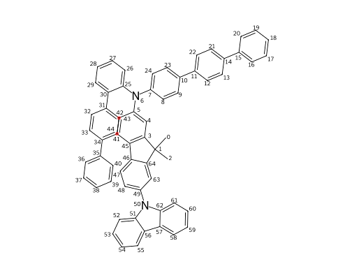 CC1(C)c2cc(N(c3ccc(-c4ccc(-c5ccccc5)cc4)cc3)c3ccccc3-c3ccc(-c4ccccc4)cc3)ccc2-c2ccc(-n3c4ccccc4c4ccccc43)cc21